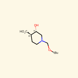 CC(C)(C)OCN1CC[C@@H](C(=O)O)[C@H](O)C1